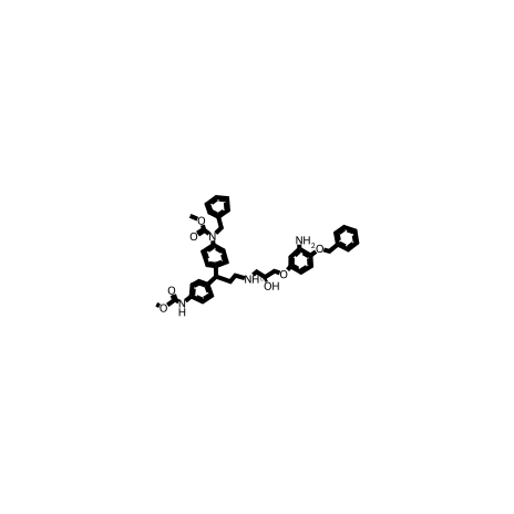 COC(=O)Nc1ccc(C(CCNC[C@H](O)COc2ccc(OCc3ccccc3)c(N)c2)c2ccc(N(Cc3ccccc3)C(=O)OC)cc2)cc1